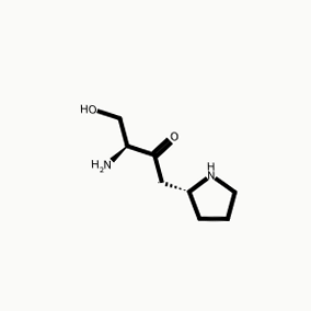 N[C@@H](CO)C(=O)[CH][C@H]1CCCN1